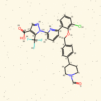 O=CN1CCC(c2ccc(COc3c(Cl)cccc3-c3cccc(-n4ncc(C(=O)O)c4C(F)(F)F)n3)cc2)CC1